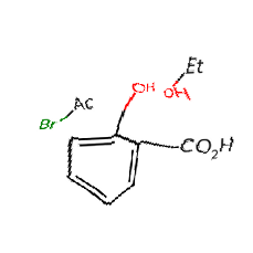 CC(=O)Br.CCO.O=C(O)c1ccccc1O